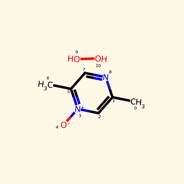 Cc1c[n+]([O-])c(C)cn1.OO